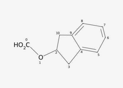 O=C(O)OC1Cc2ccccc2C1